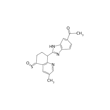 CC(=O)c1ccc2nc(C3CCC(=S=O)c4cc(C)cnc43)[nH]c2c1